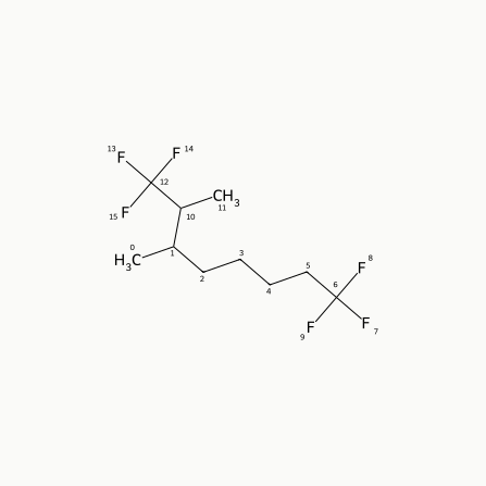 CC(CCCCC(F)(F)F)C(C)C(F)(F)F